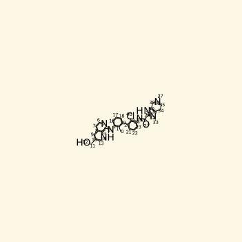 Cc1c(Nc2nccc3cc(CO)cnc23)cccc1-c1cccc(NC(=O)c2nc3c(n2C)CCN(C)C3)c1Cl